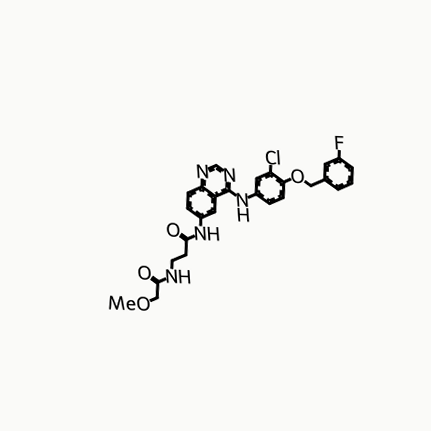 COCC(=O)NCCC(=O)Nc1ccc2ncnc(Nc3ccc(OCc4cccc(F)c4)c(Cl)c3)c2c1